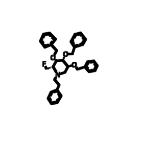 FC[C@@H]1[C@@H](OCc2ccccc2)[C@H](OCc2ccccc2)[C@@H](OCc2ccccc2)CN1CCc1ccccc1